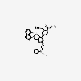 C=CC(=O)N1CCN(c2nc(OCCN(C)C3CCCC3)nc3c2CCN(c2cccc4cccc(C)c24)C3)CC1CC#N